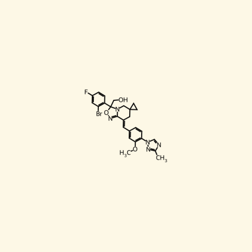 COc1cc(/C=C2\CC3(CC3)CN3C2=NOC3(CO)c2ccc(F)cc2Br)ccc1-n1cnc(C)n1